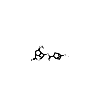 C=C1CC2C(=O)OC3C(OC(=O)C4CC5CC4CC5C)C1C23